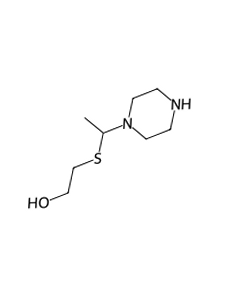 CC(SCCO)N1CCNCC1